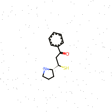 O=C(CC(S)[C@@H]1CCC[N]1)c1ccccc1